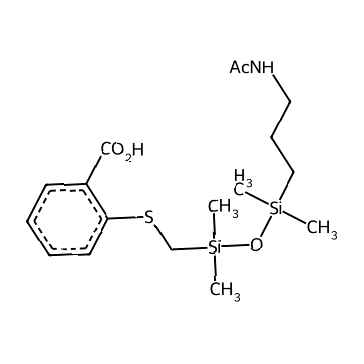 CC(=O)NCCC[Si](C)(C)O[Si](C)(C)CSc1ccccc1C(=O)O